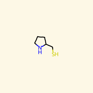 SCC1CCCN1